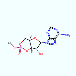 CCOP1(=O)OC[C@H]2O[C@@H](n3cnc4c(N)ncnc43)[C@H](O)[C@@H]2O1